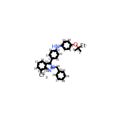 [CH2]C(C)([CH]C)Oc1ccc(Nc2ccc(-c3c4cccc(C(F)(F)F)c4nn3Cc3ccccc3)cc2)cc1